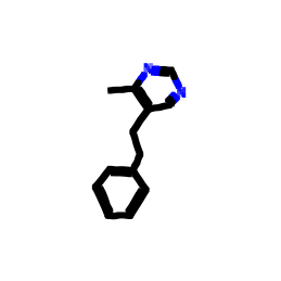 Cc1ncn[c]c1CCc1ccccc1